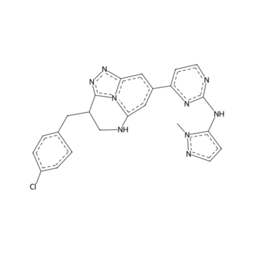 Cn1nccc1Nc1nccc(-c2cc3n4c(nnc4c2)C(Cc2ccc(Cl)cc2)CN3)n1